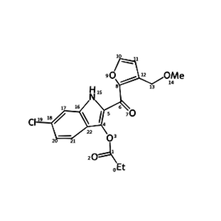 CCC(=O)Oc1c(C(=O)c2occc2COC)[nH]c2cc(Cl)ccc12